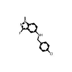 Cn1nc(F)c2cc(NCc3ccc(Cl)cc3)ccc21